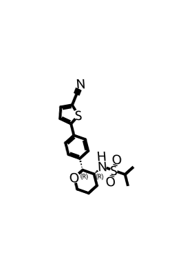 CC(C)S(=O)(=O)N[C@@H]1CCCO[C@@H]1c1ccc(-c2ccc(C#N)s2)cc1